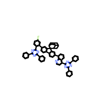 Fc1ccc(-c2nc(-c3ccccc3)nc(-c3ccccc3)n2)c(-c2ccc3c(c2)C2(c4cc(-c5cccc6c(-c7nc(-c8ccccc8)nc(-c8ccccc8)n7)ccnc56)ccc4-3)C3CC4CC(C3)CC2C4)c1